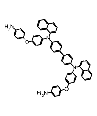 Nc1ccc(Oc2ccc(N(c3ccc(-c4ccc(N(c5ccc(Oc6ccc(N)cc6)cc5)c5cccc6ccccc56)cc4)cc3)c3cccc4ccccc34)cc2)cc1